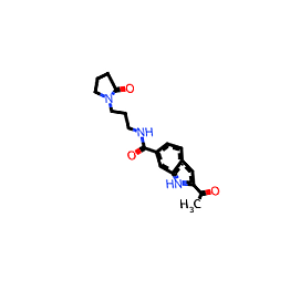 CC(=O)c1cc2ccc(C(=O)NCCCN3CCCC3=O)cc2[nH]1